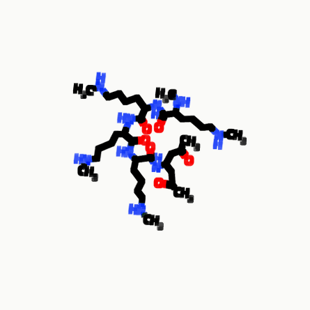 CNCCCCC(NC)C(=O)NC(CCCCNC)C(=O)NC(CCCCNC)C(=O)NC(CCCCNC)C(=O)NC(CC(C)=O)CC(C)=O